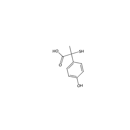 CC(S)(C(=O)O)c1ccc(O)cc1